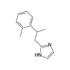 Cc1ccccc1C(C)Cc1ncc[nH]1